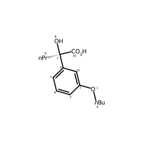 CCCCOc1cccc([C@](O)(CCC)C(=O)O)c1